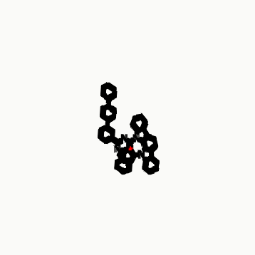 c1ccc(-c2ccc(-c3cccc(-c4nc(-c5ccccc5)nc(-n5c6ccccc6c6ccc7c8ccccc8n(-c8ccccc8)c7c65)n4)c3)cc2)cc1